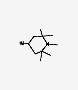 CN1C(C)(C)CC([N])CC1(C)C